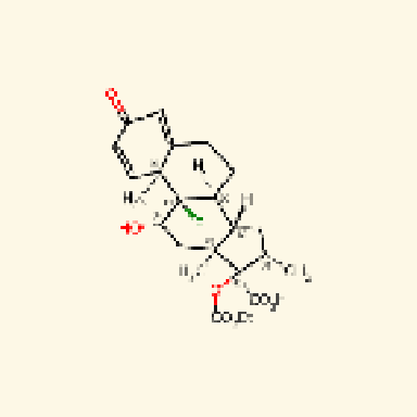 CCOC(=O)O[C@]1(C(=O)O)[C@@H](C)C[C@H]2[C@@H]3CCC4=CC(=O)C=C[C@]4(C)[C@@]3(F)[C@@H](O)C[C@@]21C